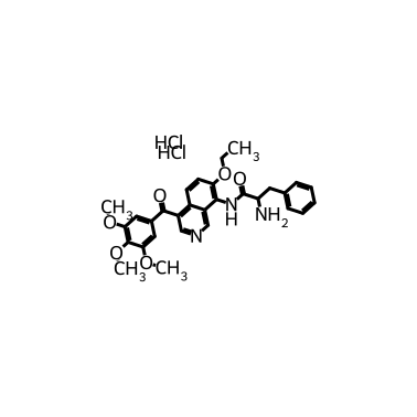 CCOc1ccc2c(C(=O)c3cc(OC)c(OC)c(OC)c3)cncc2c1NC(=O)C(N)Cc1ccccc1.Cl.Cl